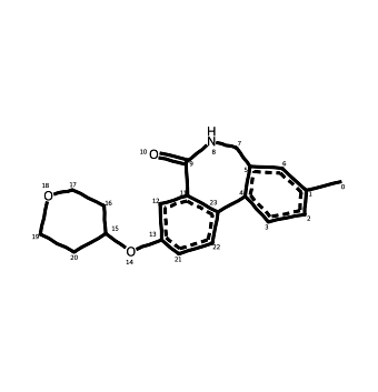 Cc1ccc2c(c1)CNC(=O)c1cc(OC3CCOCC3)ccc1-2